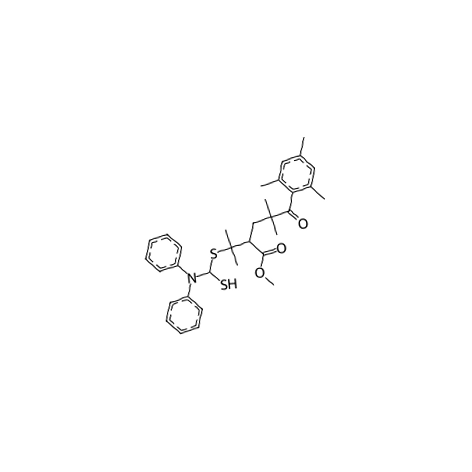 COC(=O)C(CC(C)(C)C(=O)c1c(C)cc(C)cc1C)C(C)(C)SC(S)N(c1ccccc1)c1ccccc1